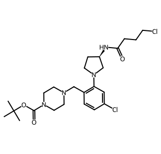 CC(C)(C)OC(=O)N1CCN(Cc2ccc(Cl)cc2N2CC[C@@H](NC(=O)CCCCl)C2)CC1